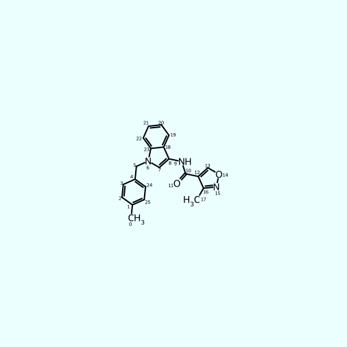 Cc1ccc(Cn2cc(NC(=O)c3conc3C)c3ccccc32)cc1